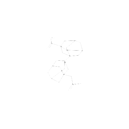 CC(=O)CC12CC3CC(C1)CC(C14CC5CC(CC(C(=O)O)(C5)C1)C4)(C3)C2